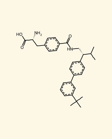 CC(C)[C@@H](CNC(=O)c1ccc(C[C@@H](N)C(=O)O)cc1)c1ccc(-c2cccc(C(C)(C)C)c2)cc1